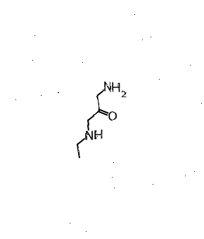 CCNCC(=O)CN